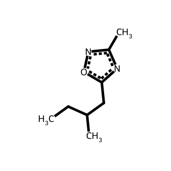 CCC(C)Cc1nc(C)no1